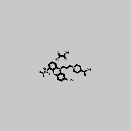 COc1ccc2c(c1)N(CCCN1CCC(C(C)O)CC1)c1cccc(S(=O)(=O)N(C)C)c1S2.O=C(O)C(=O)O